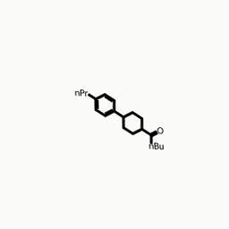 CCCCC(=O)C1CCC(c2ccc(CCC)cc2)CC1